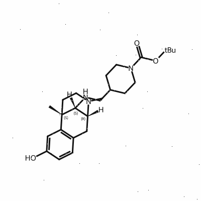 CN1CC[C@@]2(C)c3cc(O)ccc3C[C@@H]1[C@H]2NCC1CCN(C(=O)OC(C)(C)C)CC1